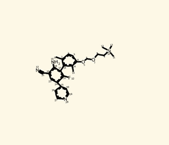 Cc1ccc(OCOCC[Si](C)(C)C)c(C)c1-c1c(N)c(C#N)cc(-c2ccncc2)c1F